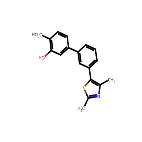 Cc1nc(C)c(-c2cccc(-c3ccc(C(=O)O)c(O)c3)c2)s1